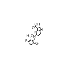 CN(Cc1cc(F)ccc1S)c1ccn2ncc(C(=O)O)c2n1